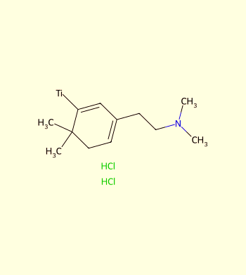 CN(C)CCC1=CCC(C)(C)[C]([Ti])=C1.Cl.Cl